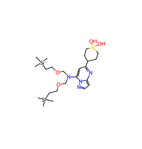 C[Si](C)(C)CCOCN(COCC[Si](C)(C)C)c1cc(C2CCS(O)(O)CC2)nc2ccnn12